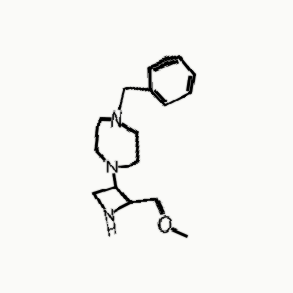 COCC1NCC1N1CCN(Cc2ccccc2)CC1